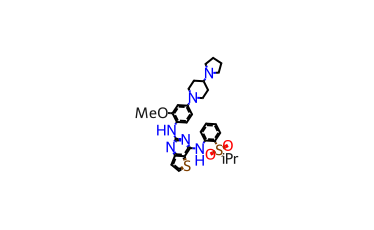 COc1cc(N2CCC(N3CCCC3)CC2)ccc1Nc1nc(Nc2ccccc2S(=O)(=O)C(C)C)c2sccc2n1